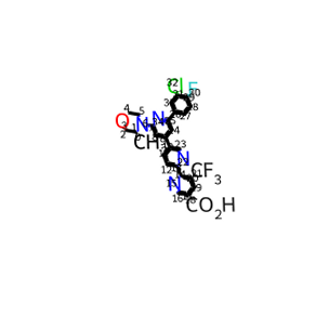 C[C@@H]1COCCN1c1cc(-c2ccc(-c3ncc(C(=O)O)cc3C(F)(F)F)nc2)cc(-c2ccc(F)c(Cl)c2)n1